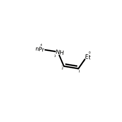 CC/C=[C]\NCCC